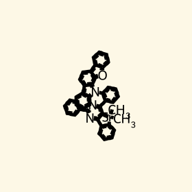 C[Si]1(C)c2ccccc2-c2nc(-c3ccccc3)nc(-c3ccccc3-n3c4ccccc4c4ccc5c6ccccc6oc5c43)c21